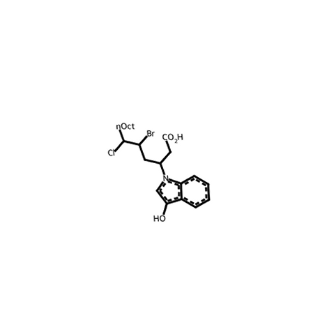 CCCCCCCCC(Cl)C(Br)CC(CC(=O)O)n1cc(O)c2ccccc21